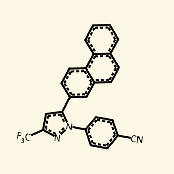 N#Cc1ccc(-n2nc(C(F)(F)F)cc2-c2ccc3c(ccc4ccccc43)c2)cc1